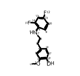 COc1cc(CCNc2ccc(F)cc2F)ccc1O